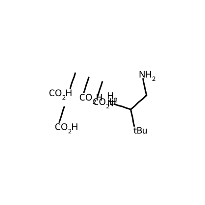 CC(=O)O.CC(=O)O.CC(=O)O.CC(=O)O.CC(C)(C)C(N)CN